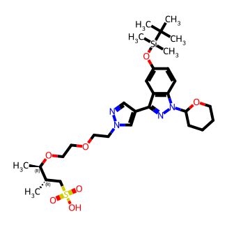 C[C@@H](CS(=O)(=O)O)[C@@H](C)OCCOCCn1cc(-c2nn(C3CCCCO3)c3ccc(O[Si](C)(C)C(C)(C)C)cc23)cn1